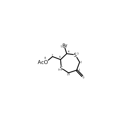 C=C1CSC(Br)C(COC(C)=O)SC1